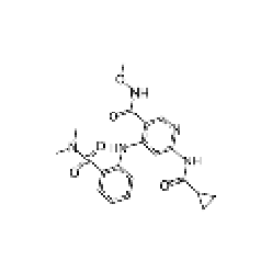 CONC(=O)c1cnc(NC(=O)C2CC2)cc1Nc1ccccc1S(=O)(=O)N(C)C